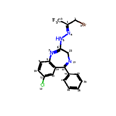 FC(F)(F)/C(CBr)=N\NC1=Nc2ccc(Cl)cc2C(c2ccccc2)=NC1